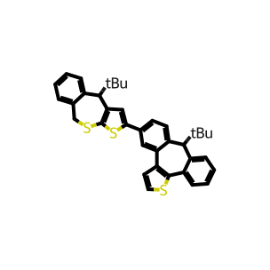 CC(C)(C)C1c2ccc(-c3cc4c(s3)SCc3ccccc3C4C(C)(C)C)cc2-c2ccsc2-c2ccccc21